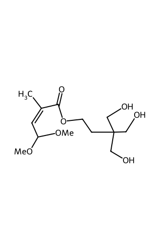 COC(C=C(C)C(=O)OCCC(CO)(CO)CO)OC